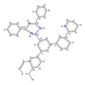 C/C=C\c1cc(-c2cc(-c3cccc(-c4ccccn4)c3)cc(-c3nc(-c4ccccc4)nc(-c4ccccc4)n3)c2)ccc1CC